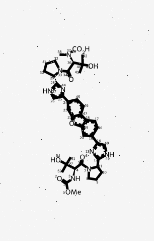 COC(=O)N[C@H](C(=O)N1CCCC1c1nc(-c2ccc3c(c2)oc2cc(-c4c[nH]c([C@@H]5CCCN5C(=O)[C@@H](N(C)C(=O)O)C(C)(C)O)n4)ccc23)c[nH]1)C(C)(C)O